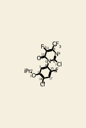 CC(C)Oc1cc(-n2c(Cl)nc(C(F)(F)F)c(F)c2=O)c(F)cc1Cl